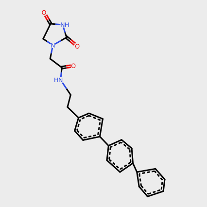 O=C(CN1CC(=O)NC1=O)NCCc1ccc(-c2ccc(-c3ccccc3)cc2)cc1